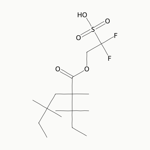 CCC(C)(C)CC(C)(C(=O)OCC(F)(F)S(=O)(=O)O)C(C)(C)CC